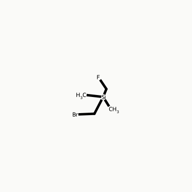 C[Si](C)(CF)CBr